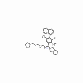 C=Nc1c(/C(=N\COCCCN2CCCC2)N2CC3CCCN3C2)cc(Cl)c(-c2cccc3ccccc23)c1F